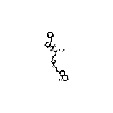 O=C(O)C(CCN1CC(OCCc2ccc3c(n2)NCCC3)C1)NC(=O)[C@@H]1CCCN1Cc1ccccc1